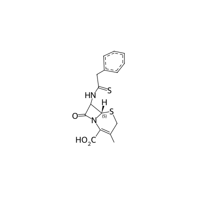 CC1=C(C(=O)O)N2C(=O)C(NC(=S)Cc3ccccc3)[C@@H]2SC1